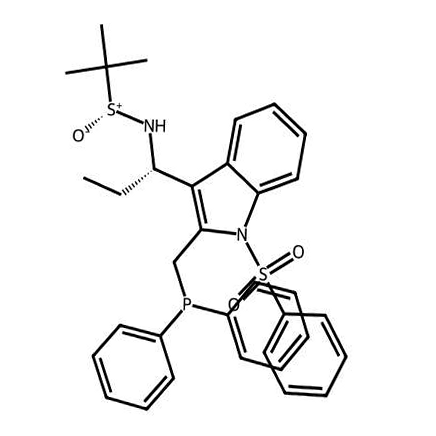 CC[C@H](N[S@+]([O-])C(C)(C)C)c1c(CP(c2ccccc2)c2ccccc2)n(S(=O)(=O)c2ccccc2)c2ccccc12